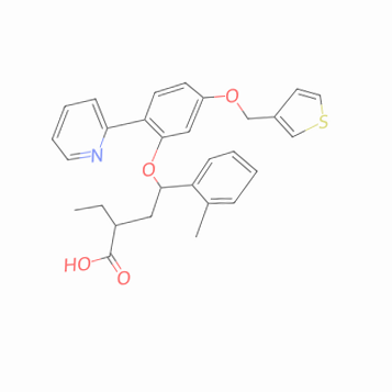 CCC(CC(Oc1cc(OCc2ccsc2)ccc1-c1ccccn1)c1ccccc1C)C(=O)O